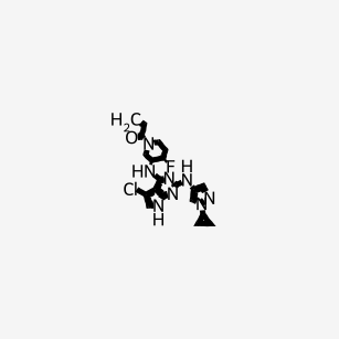 C=CC(=O)N1CC[C@@H](F)[C@@H](Nc2nc(Nc3cnn(C4CC4)c3)nc3[nH]cc(Cl)c23)C1